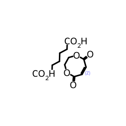 O=C(O)CCCCC(=O)O.O=C1/C=C\C(=O)OCCO1